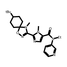 CCN(C(=O)c1cnc(C2=NOC3(CCC(C(C)(C)C)CC3)N2C)n1C)c1cccnc1